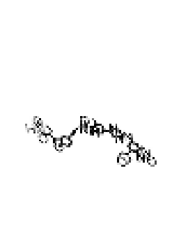 Cc1cc(-c2cnc(N(C)c3cc(C4CCOCC4)c4c(c3)n(C)c(=O)n4C)cn2)cnc1C(=O)NCC#Cc1ccc2occ(C3CCC(=O)NC3=O)c2c1